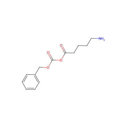 NCCCCC(=O)OC(=O)OCc1ccccc1